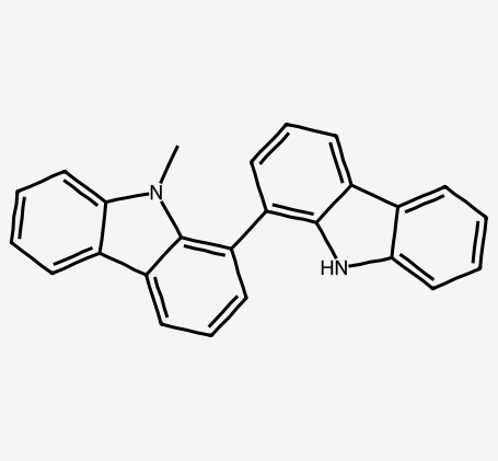 Cn1c2ccccc2c2cccc(-c3cccc4c3[nH]c3ccccc34)c21